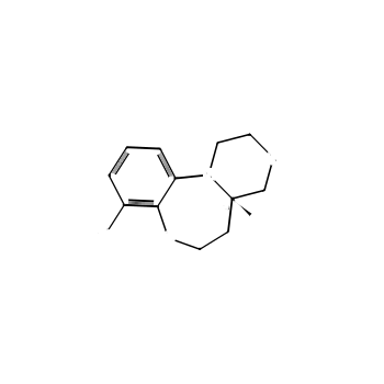 Clc1cccc2c1OCC[C@H]1CNCCN21